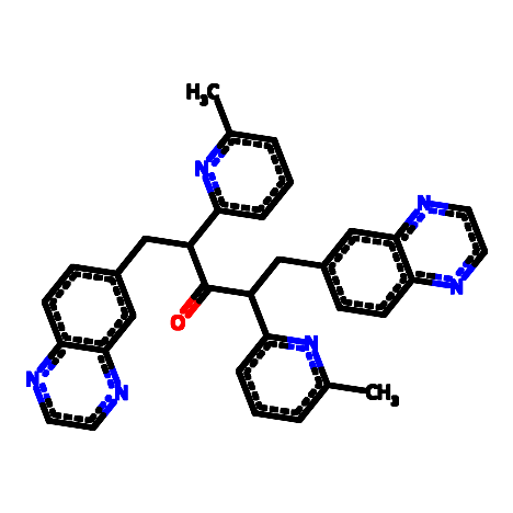 Cc1cccc(C(Cc2ccc3nccnc3c2)C(=O)C(Cc2ccc3nccnc3c2)c2cccc(C)n2)n1